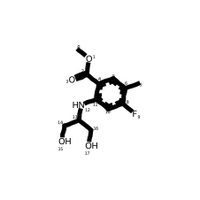 COC(=O)c1cc(C)c(F)cc1NC(CO)CO